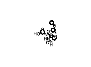 Cc1cc(Oc2ccccc2)ccc1[SH]1C(C(=O)N[C@@H]2C[C@H](O)CN(C)C2)=C2NC(=O)Nc3ccnc1c32